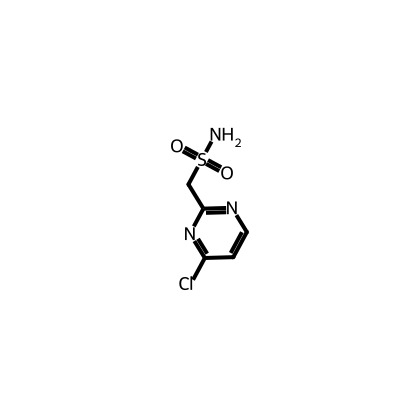 NS(=O)(=O)Cc1nccc(Cl)n1